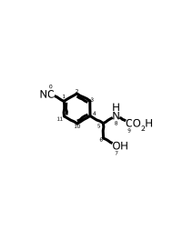 N#Cc1ccc(C(CO)NC(=O)O)cc1